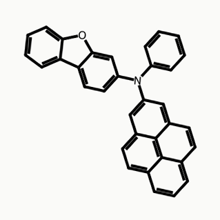 c1ccc(N(c2cc3ccc4cccc5ccc(c2)c3c45)c2ccc3c(c2)oc2ccccc23)cc1